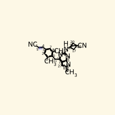 Cc1cc(/C=C/C#N)cc(C)c1Cc1nc(NC23CC(C#N)(C2)C3)nc2nn(C)cc12